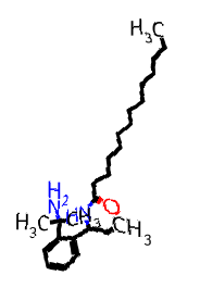 CCCCCCCCCCCCCC(=O)NC(CC)c1ccccc1C(C)(C)N